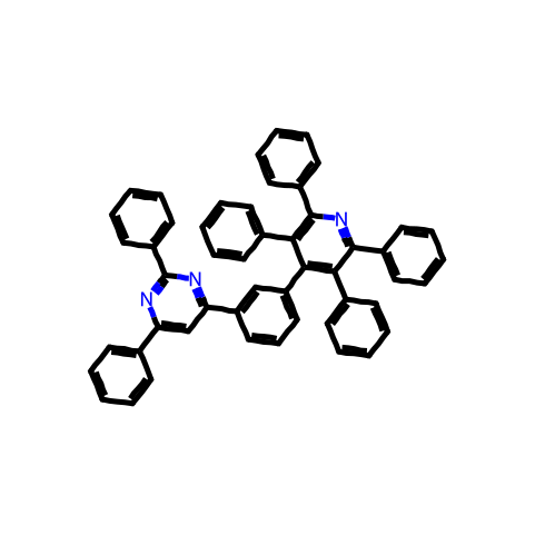 c1ccc(-c2cc(-c3cccc(-c4c(-c5ccccc5)c(-c5ccccc5)nc(-c5ccccc5)c4-c4ccccc4)c3)nc(-c3ccccc3)n2)cc1